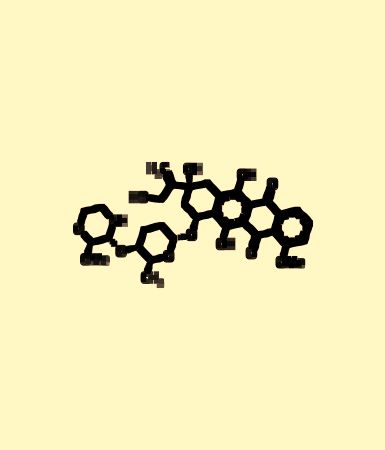 C=C(CO)[C@]1(O)Cc2c(O)c3c(c(O)c2[C@@H](O[C@H]2CC[C@H](O[C@H]4NCCO[C@@H]4OC)[C@H](C)O2)C1)C(=O)c1c(OC)cccc1C3=O